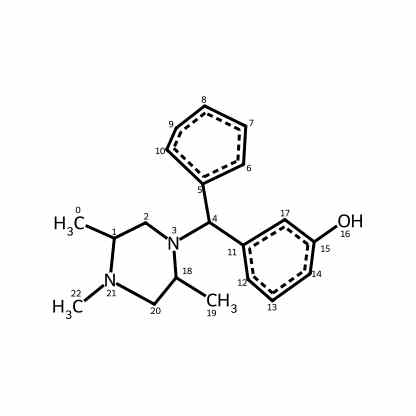 CC1CN(C(c2ccccc2)c2cccc(O)c2)C(C)CN1C